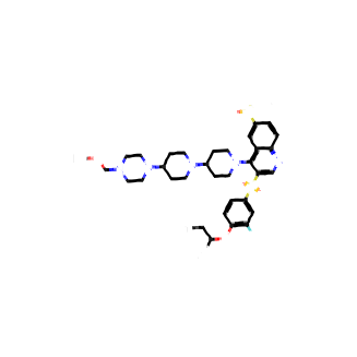 CCOCN1CCN(C2CCN(C3CCN(c4c(S(=O)(=O)c5ccc(OC(C)CC(C)C)c(F)c5)cnc5ccc([S+](C)[O-])cc45)CC3)CC2)CC1